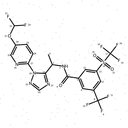 CC(NC(=O)c1cc(C(F)(F)F)cc(S(=O)(=O)C(F)(F)F)c1)c1ncnn1-c1ccc(OC(F)F)cn1